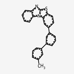 Cc1cccc(-c2cccc(-c3ccc4sc5nc6ccccc6n5c4c3)c2)c1